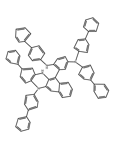 B1c2cc(-c3ccccc3)ccc2N(c2ccc(-c3ccccc3)cc2)c2cc3ccccc3c(-c3cc(N(c4ccc(-c5ccccc5)cc4)c4ccc(-c5ccccc5)cc4)ccc3Nc3ccc(-c4ccccc4)cc3)c21